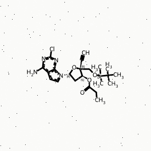 C#C[C@]1(CO[Si](C)(C)C(C)(C)C)O[C@@H](n2ccc3c(N)nc(Cl)nc32)C[C@@H]1OC(=O)CC